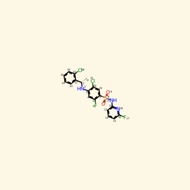 C[C@H](Nc1cc(F)c(S(=O)(=O)Nc2cccc(F)n2)cc1Cl)c1ccccc1Cl